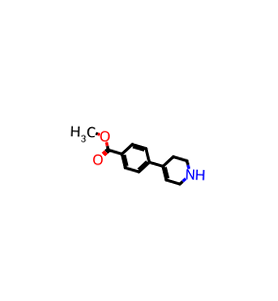 COC(=O)c1ccc(C2=CCNCC2)cc1